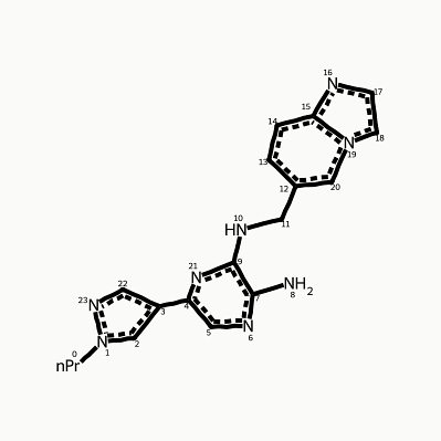 CCCn1cc(-c2cnc(N)c(NCc3ccc4nccn4c3)n2)cn1